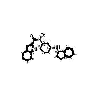 CCN(C(=O)c1cc2ccccc2[nH]1)[C@@H]1COC[C@@H](N[C@@H]2CCc3ccccc32)C1